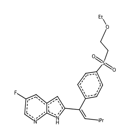 CCOCCS(=O)(=O)c1ccc(C(=CC(C)C)c2cc3cc(F)cnc3[nH]2)cc1